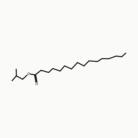 CCCCCCCCCCCCCCCC(=O)OC[C](C)C